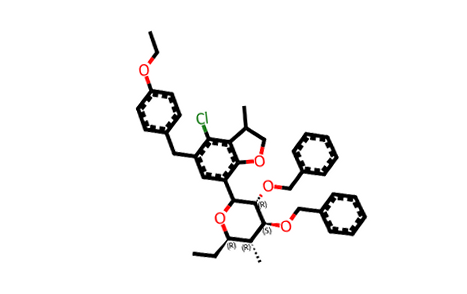 CCOc1ccc(Cc2cc(C3O[C@H](CC)[C@@H](C)[C@H](OCc4ccccc4)[C@H]3OCc3ccccc3)c3c(c2Cl)C(C)CO3)cc1